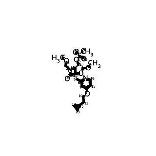 COCO[C@@]1(Cc2cc(OCCC3CC3)ccn2)C(=O)N(COC)[C@H]1COS(C)(=O)=O